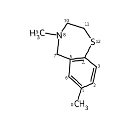 Cc1ccc2c(c1)CN(C)CCS2